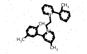 Cc1ccc(C)c(-c2cc(C)cc[n+]2CC[n+]2ccccc2-c2ccccc2C)c1